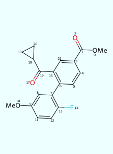 COC(=O)c1ccc(-c2cc(OC)ccc2F)c(C(=O)C2CC2)c1